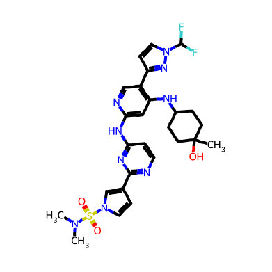 CN(C)S(=O)(=O)n1ccc(-c2nccc(Nc3cc(NC4CCC(C)(O)CC4)c(-c4ccn(C(F)F)n4)cn3)n2)c1